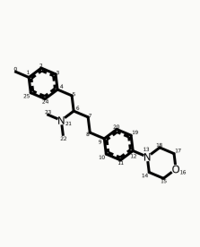 Cc1ccc(CC(CCc2ccc(N3CCOCC3)cc2)N(C)C)cc1